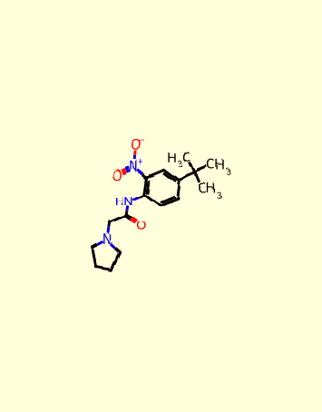 CC(C)(C)c1ccc(NC(=O)CN2CCCC2)c([N+](=O)[O-])c1